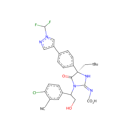 CC(C)(C)C[C@]1(c2ccc(-c3cnn(C(F)F)c3)cc2)NC(=NC(=O)O)N(C(CO)c2ccc(Cl)c(C#N)c2)C1=O